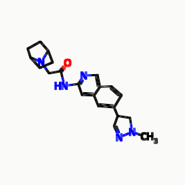 CN1CC(c2ccc3cnc(NC(=O)CN4C5CCC4CC5)cc3c2)C=N1